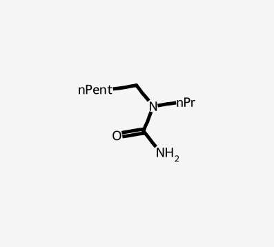 [CH2]CCCCCN(CCC)C(N)=O